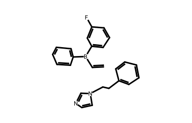 C=CB(c1ccccc1)c1cccc(F)c1.c1ccc(CCn2ccnc2)cc1